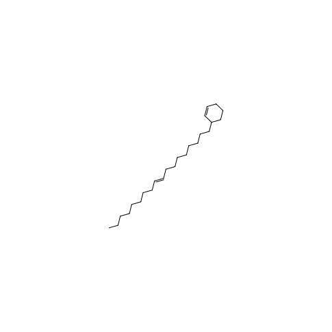 CCCCCCCCC=CCCCCCCCCC1C=CCCC1